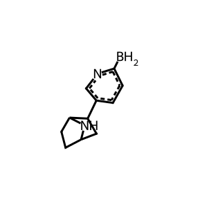 Bc1ccc(C2CC3CCC2N3)cn1